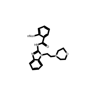 CCCCCCCCCc1ccccc1C(=O)Nc1nc2ccccc2n1CCN1CCOCC1